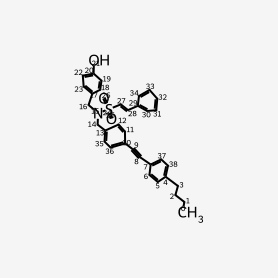 CCCCc1ccc(C#Cc2ccc(CN(Cc3ccc(O)cc3)S(=O)(=O)C=Cc3ccccc3)cc2)cc1